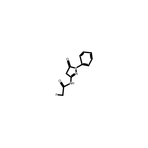 O=C(CF)NC1=NN(c2ccccc2)C(=O)C1